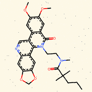 CCCC(C)(C)C(=O)N(C)CCn1c(=O)c2cc(OC)c(OC)cc2c2cnc3cc4c(cc3c21)OCO4